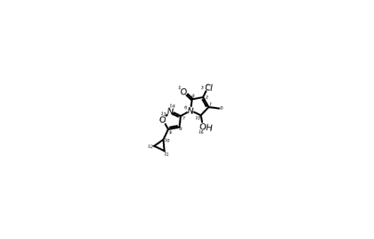 CC1=C(Cl)C(=O)N(c2cc(C3CC3)on2)C1O